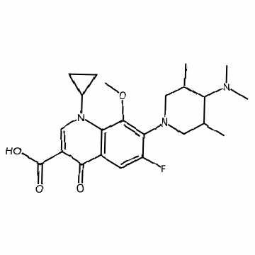 COc1c(N2CC(C)C(N(C)C)C(C)C2)c(F)cc2c(=O)c(C(=O)O)cn(C3CC3)c12